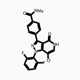 CNC(=O)c1ccc(-c2nn(-c3c(F)cccc3F)c3c(Cl)c[nH]c(=O)c23)cc1